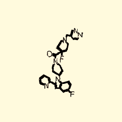 O=C(N1CCC(n2c(-c3ccccn3)cc3cc(F)ccc32)CC1)C1(F)CCN(Cc2ccnnc2)CC1